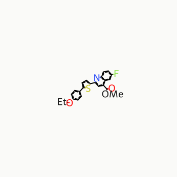 CCOc1ccc(-c2ccc(-c3cc(C(=O)OC)c4cc(F)ccc4n3)s2)cc1